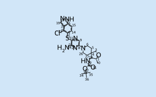 C[C@@H]1OCC2(CCN(c3cnc(Sc4ccc5[nH]ncc5c4Cl)c(N)n3)CC2)[C@@H]1NC(=O)OC(C)(C)C